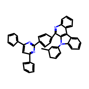 CC1C=C(n2c3ccccc3c3c4ccccc4nc(-c4ccc(-c5nc(-c6ccccc6)cc(-c6ccccc6)n5)cc4)c32)C=CC1